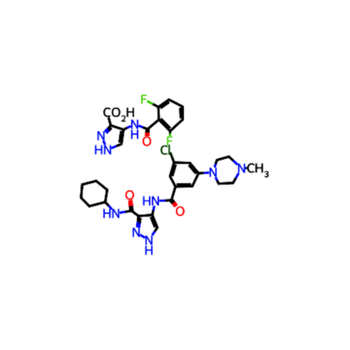 CN1CCN(c2cc(Cl)cc(C(=O)Nc3c[nH]nc3C(=O)NC3CCCCC3)c2)CC1.O=C(O)c1n[nH]cc1NC(=O)c1c(F)cccc1F